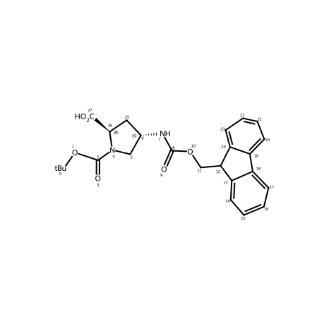 CC(C)(C)OC(=O)N1C[C@@H](NC(=O)OCC2c3ccccc3-c3ccccc32)C[C@@H]1C(=O)O